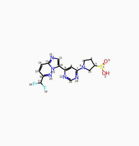 O=S(O)C1CCN(c2cc(-c3cnc4ccc(C(F)F)nn34)ncn2)C1